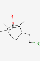 CC1(C)C(=O)C2(C)CCC1CC2CCCl